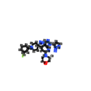 C[C@@H]1COCCN1c1cc(C2(N)CCN(c3cccc(F)c3)CC2)c2cnn(-c3ccn[nH]3)c2n1